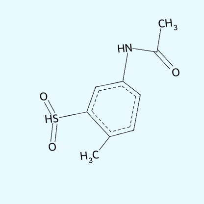 CC(=O)Nc1ccc(C)c([SH](=O)=O)c1